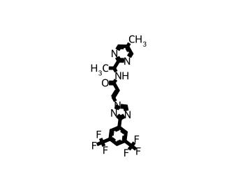 Cc1cnc(C(C)NC(=O)C=Cn2cnc(-c3cc(C(F)(F)F)cc(C(F)(F)F)c3)n2)nc1